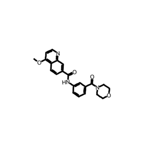 COc1ccnc2cc(C(=O)Nc3cccc(C(=O)N4CCOCC4)c3)ccc12